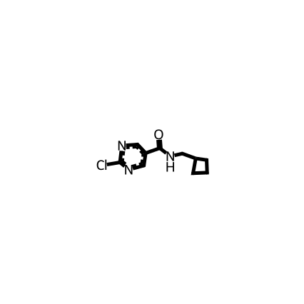 O=C(NCC1CCC1)c1cnc(Cl)nc1